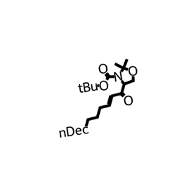 CCCCCCCCCCCCCC=CC(=O)C1COC(C)(C)N1C(=O)OC(C)(C)C